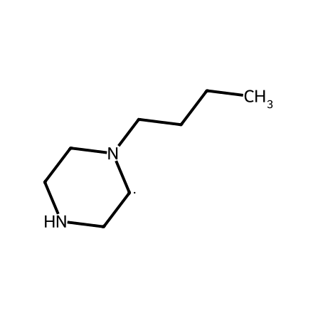 CCCCN1[CH]CNCC1